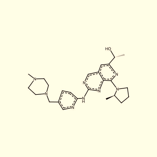 C[C@@H]1CCCN1c1nc([C@@H](C)O)cc2cnc(Nc3ccc(CN4CCN(C)CC4)cn3)nc12